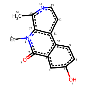 CCn1c(=O)c2cc(O)ccc2c2ccnc(C)c21